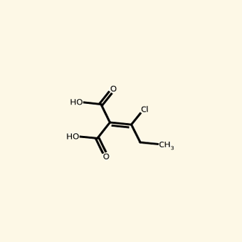 CCC(Cl)=C(C(=O)O)C(=O)O